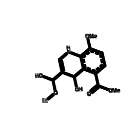 CCOC(O)C1=CNc2c(OC)ccc(C(=O)OC)c2C1O